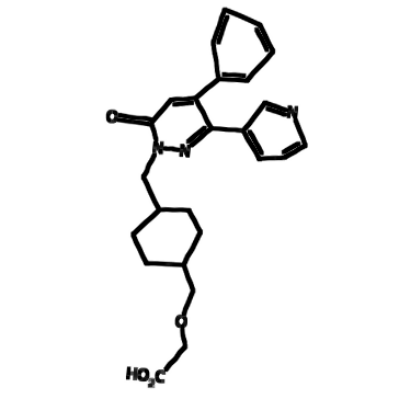 O=C(O)COCC1CCC(Cn2nc(-c3cccnc3)c(-c3ccccc3)cc2=O)CC1